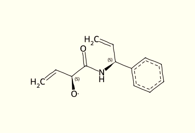 C=C[C@H](NC(=O)[C@@H]([O])C=C)c1ccccc1